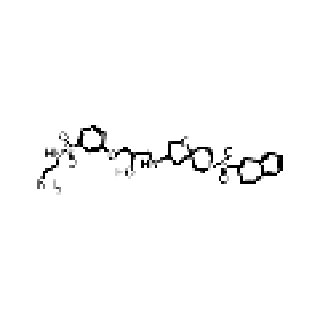 NCCNS(=O)(=O)c1cccc(OCC(O)CNC2COC3(CCN(S(=O)(=O)c4ccc5ccccc5c4)CC3)C2)c1